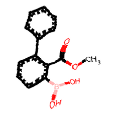 COC(=O)c1c(B(O)O)cccc1-c1ccccc1